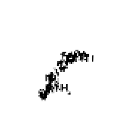 Nc1nc2c(ncn2CCN2CCN(c3ccc(OC4CCNC4)cc3F)CC2)c2cc(-c3ccco3)nn12